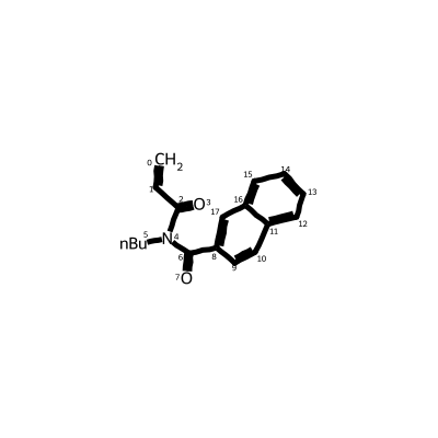 C=CC(=O)N(CCCC)C(=O)c1ccc2ccccc2c1